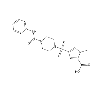 Cn1cc(S(=O)(=O)N2CCN(C(=O)Nc3ccccc3)CC2)cc1C(=O)O